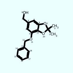 CC1(C)Oc2cc(CO)cc(OCc3ccccc3)c2O1